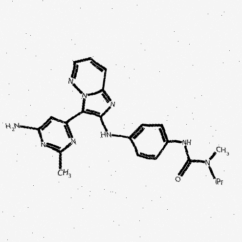 Cc1nc(N)cc(-c2c(Nc3ccc(NC(=O)N(C)C(C)C)cc3)nc3cccnn23)n1